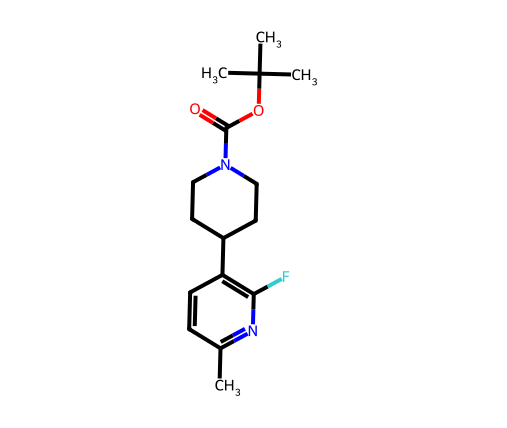 Cc1ccc(C2CCN(C(=O)OC(C)(C)C)CC2)c(F)n1